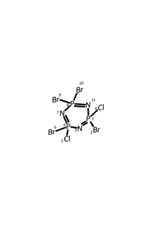 ClP1(Br)=NP(Cl)(Br)=NP(Br)(Br)=N1